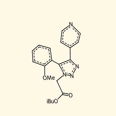 COc1ccccc1-c1c(-c2ccncc2)nnn1CC(=O)OCC(C)C